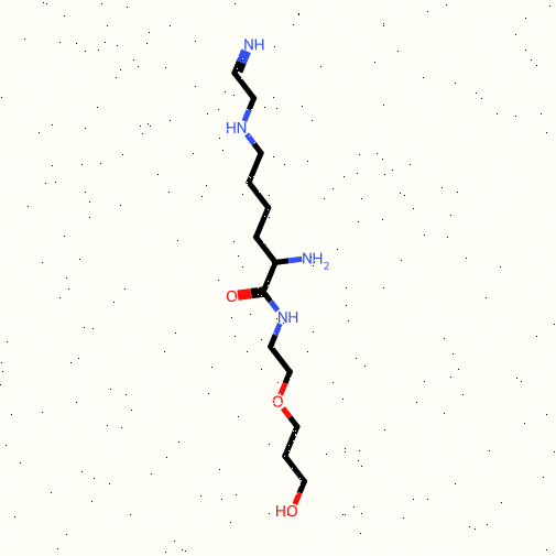 N=CCNCCCCC(N)C(=O)NCCOCCCO